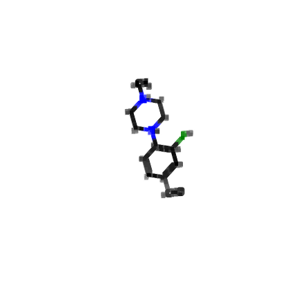 CN1CCN(c2ccc(C=O)cc2F)CC1